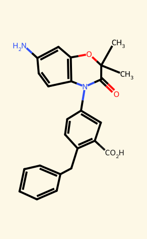 CC1(C)Oc2cc(N)ccc2N(c2ccc(Cc3ccccc3)c(C(=O)O)c2)C1=O